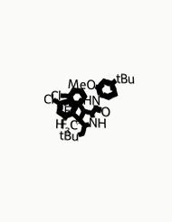 COc1cc(C(C)(C)C)ccc1NC(=O)C1NC(CC(C)(C)C)[C@](C)(c2ccc(Cl)cc2F)C1c1cccc(Cl)c1F